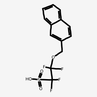 O=S(=O)(O)C(F)(F)C(F)(F)OCc1ccc2ccccc2c1